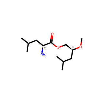 CO[C@H](COC(=O)[C@@H](N)CC(C)C)CC(C)C